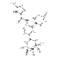 [C-]#[N+]c1cnc(C(=O)Nc2ccc(C3CS(=O)(=O)N(C)S(=O)(=O)C3)cc2N2CCC(C)CC2)[nH]1